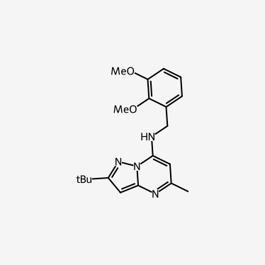 COc1cccc(CNc2cc(C)nc3cc(C(C)(C)C)nn23)c1OC